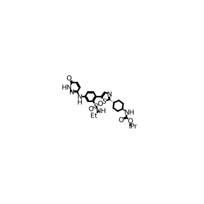 CCNS(=O)(=O)c1cc(Nc2ccc(=O)[nH]n2)ccc1-c1cnc([C@H]2CC[C@H](NC(=O)OC(C)C)CC2)s1